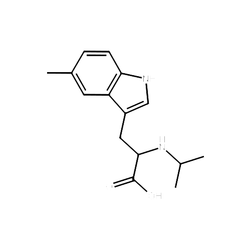 Cc1ccc2[nH]cc(CC(NC(C)C)C(=O)O)c2c1